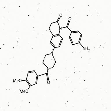 COc1ccc(C(=O)N2CCN(c3ccc4c(c3)CCC(=O)N4C(=O)c3ccc(N)cc3)CC2)cc1OC